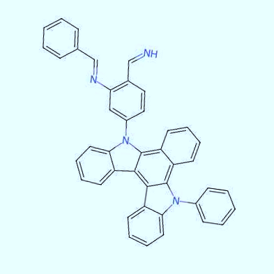 N=Cc1ccc(-n2c3ccccc3c3c4c5ccccc5n(-c5ccccc5)c4c4ccccc4c32)cc1/N=C/c1ccccc1